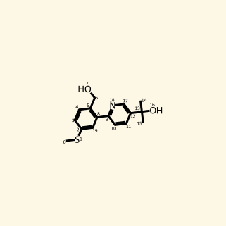 CSc1ccc(CO)c(-c2ccc(C(C)(C)O)cn2)c1